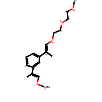 CCCCOC=C(C)c1cccc(C(C)=COCCOCCOC(C)C)c1